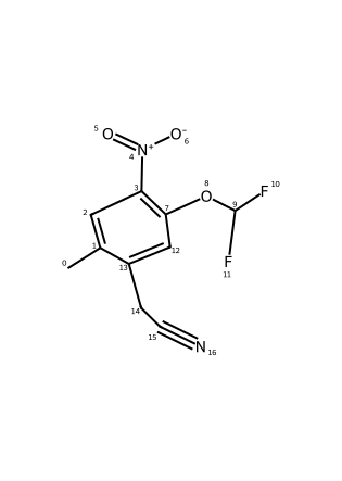 Cc1cc([N+](=O)[O-])c(OC(F)F)cc1CC#N